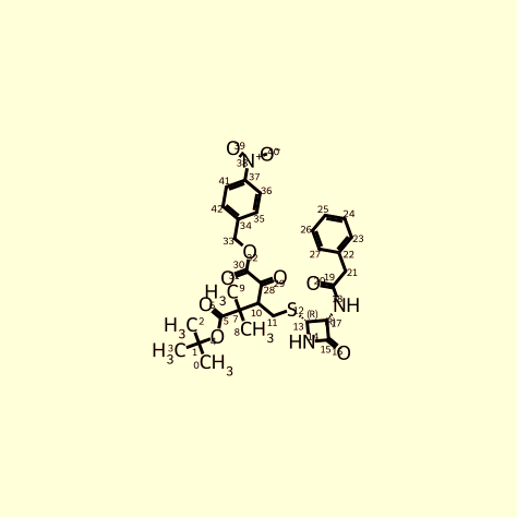 CC(C)(C)OC(=O)C(C)(C)C(CS[C@H]1NC(=O)[C@H]1NC(=O)Cc1ccccc1)C(=O)C(=O)OCc1ccc([N+](=O)[O-])cc1